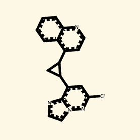 Clc1cc(C2CC2c2ccnc3ccccc23)c2nccn2n1